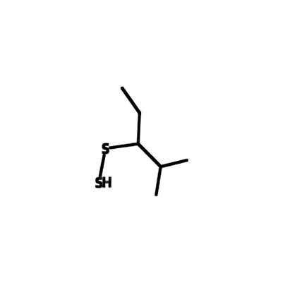 CCC(SS)C(C)C